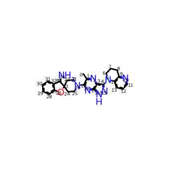 Cc1nc2c(N3CCCc4ncccc43)n[nH]c2nc1N1CCC2(CC1)Oc1ccccc1[C@H]2N